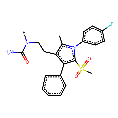 CCN(CCc1c(-c2ccccc2)c(S(C)(=O)=O)n(-c2ccc(F)cc2)c1C)C(N)=O